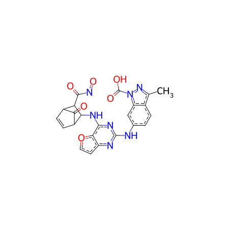 Cc1nn(C(=O)O)c2cc(Nc3nc(NC4C5C=CC(C5=O)C4C(=O)N=O)c4occc4n3)ccc12